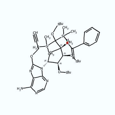 C#CCOc1nc2c(N)ncnc2n1[C@@H]1O[C@]([SiH2]C(=O)c2ccccc2)(C(OC(C)(C)C)([Si](C)(C)C)[Si](C)(C)C)[C@@H](OC(C)(C)C)[C@H]1OC(C)(C)C